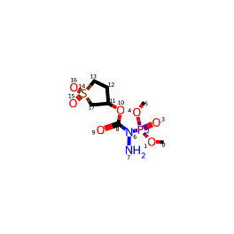 COP(=O)(OC)N(N)C(=O)OC1CCS(=O)(=O)C1